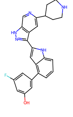 Oc1cc(F)cc(-c2cccc3[nH]c(-c4n[nH]c5cnc(C6CCNCC6)cc45)cc23)c1